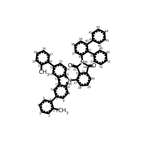 Cc1ccccc1-c1ccc2c(c1)c1cc(-c3ccccc3C)ccc1n2-c1cccc2c1C(=O)N(c1cccc(-c3ccccc3)c1-c1ccccc1)C2=O